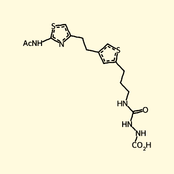 CC(=O)Nc1nc(CCc2csc(CCCNC(=O)NNC(=O)O)c2)cs1